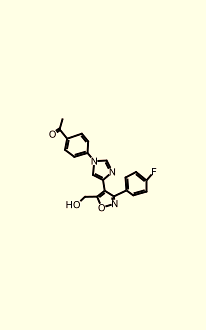 CC(=O)c1ccc(-n2cnc(-c3c(-c4ccc(F)cc4)noc3CO)c2)cc1